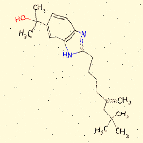 C=C(CCCCc1nc2ccc(C(C)(C)O)cc2[nH]1)CC(C)(C)C